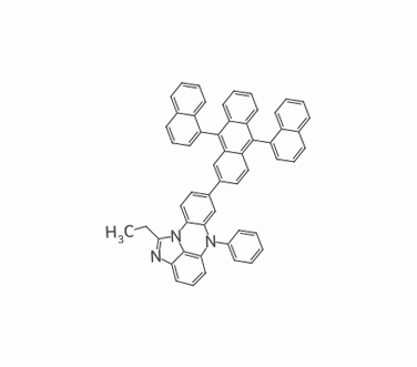 CCc1nc2cccc3c2n1-c1ccc(-c2ccc4c(-c5cccc6ccccc56)c5ccccc5c(-c5cccc6ccccc56)c4c2)cc1N3c1ccccc1